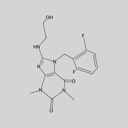 Cn1c(=O)c2c(nc(NCCO)n2Cc2c(F)cccc2F)n(C)c1=O